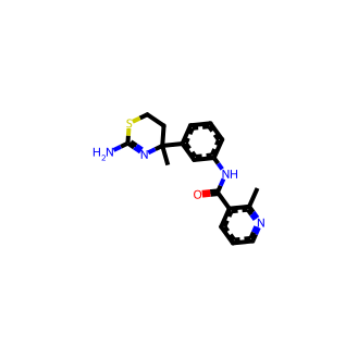 Cc1ncccc1C(=O)Nc1cccc(C2(C)CCSC(N)=N2)c1